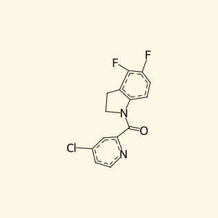 O=C(c1cc(Cl)ccn1)N1CCc2c1ccc(F)c2F